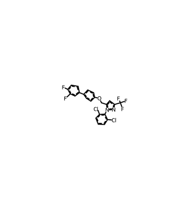 Fc1ccc(-c2ccc(OCc3cc(C(F)(F)F)nn3-c3c(Cl)cccc3Cl)cc2)cc1F